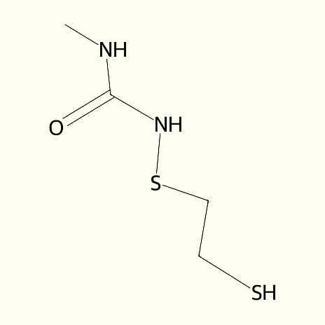 CNC(=O)NSCCS